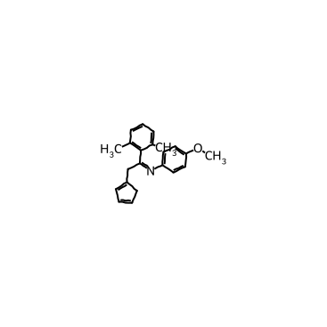 COc1ccc(N=C(CC2=CC=CC2)c2c(C)cccc2C)cc1